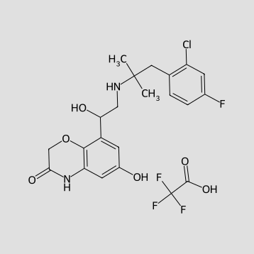 CC(C)(Cc1ccc(F)cc1Cl)NCC(O)c1cc(O)cc2c1OCC(=O)N2.O=C(O)C(F)(F)F